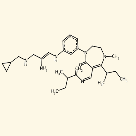 C=C(/N=C\C1=C(C(C)CC)N(C)CCN(c2cccc(N/C=C(\N)CNCC3CC3)c2)C1=O)C(C)CC